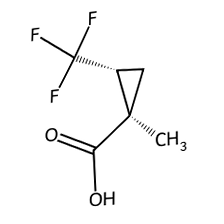 C[C@@]1(C(=O)O)C[C@H]1C(F)(F)F